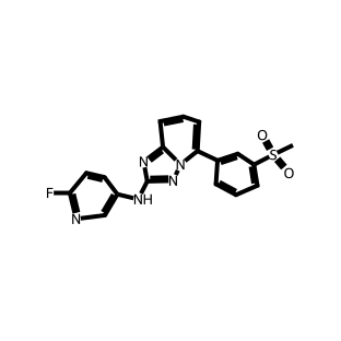 CS(=O)(=O)c1cccc(-c2cccc3nc(Nc4ccc(F)nc4)nn23)c1